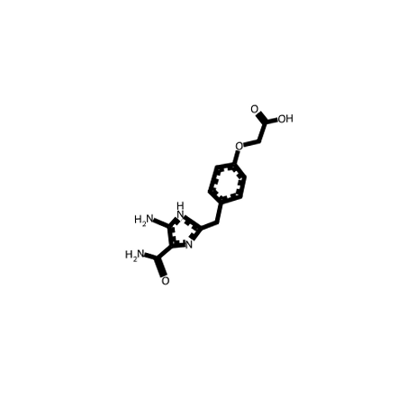 NC(=O)c1nc(Cc2ccc(OCC(=O)O)cc2)[nH]c1N